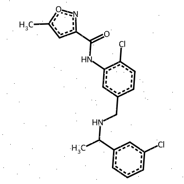 Cc1cc(C(=O)Nc2cc(CNC(C)c3cccc(Cl)c3)ccc2Cl)no1